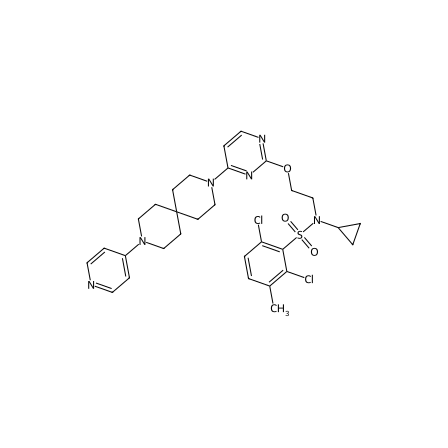 Cc1ccc(Cl)c(S(=O)(=O)N(CCOc2nccc(N3CCC4(CCN(c5ccncc5)CC4)CC3)n2)C2CC2)c1Cl